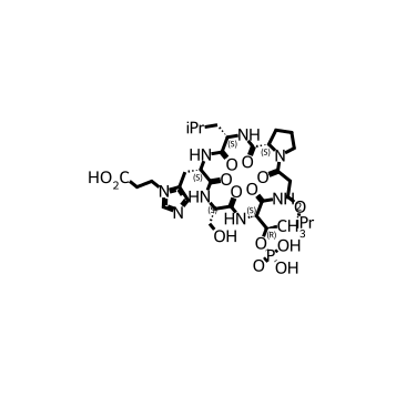 CC(C)C[C@H](NC(=O)[C@@H]1CCCN1C(=O)CCOC(C)C)C(=O)N[C@@H](Cc1cncn1CCC(=O)O)C(=O)N[C@@H](CO)C(=O)N[C@H](C(N)=O)[C@@H](C)OP(=O)(O)O